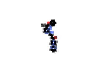 N#CC(=C1Nc2ccccc2O1)c1ccnc(NCCCC(=O)N2CCN(c3ncccn3)CC2)n1